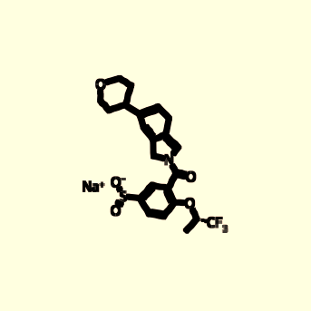 C[C@H](Oc1ccc(S(=O)[O-])cc1C(=O)N1C=C2CC=C(C3CCOCC3)C=C2C1)C(F)(F)F.[Na+]